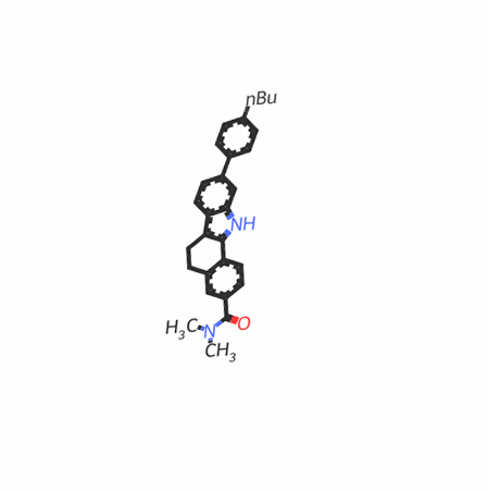 CCCCc1ccc(-c2ccc3c4c([nH]c3c2)-c2ccc(C(=O)N(C)C)cc2CC4)cc1